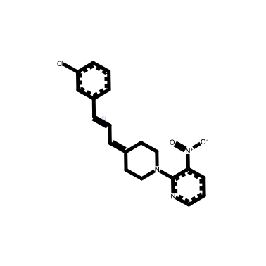 O=[N+]([O-])c1cccnc1N1CCC(=C/C=C/c2cccc(Cl)c2)CC1